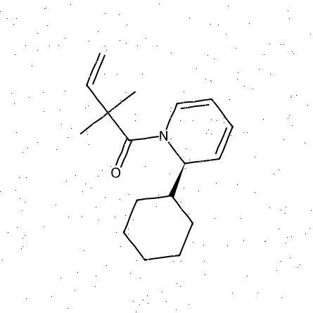 C=CC(C)(C)C(=O)N1C=CC=C[C@H]1C1CCCCC1